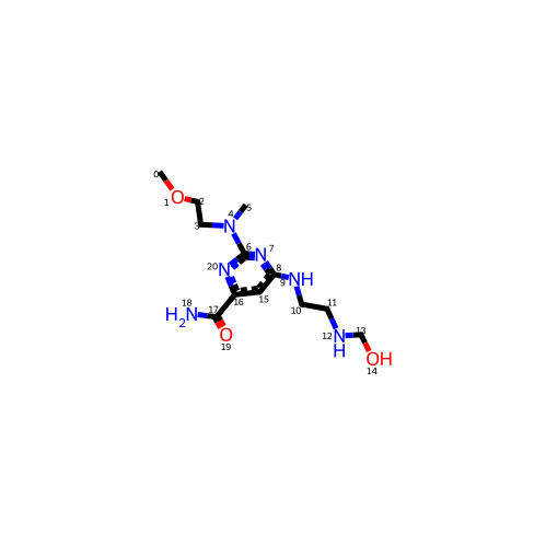 COCCN(C)c1nc(NCCNCO)cc(C(N)=O)n1